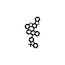 CC1(C)c2ccccc2-c2cc(-c3c4ccccc4c(-c4cc5sc6ccccc6c5c5sc6ccccc6c45)c4ccccc34)ccc21